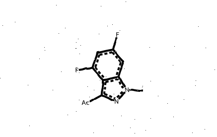 CC(=O)c1nn(C)c2cc(F)cc(F)c12